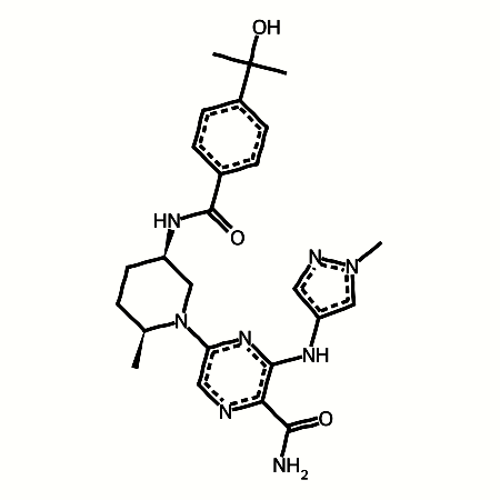 C[C@H]1CC[C@@H](NC(=O)c2ccc(C(C)(C)O)cc2)CN1c1cnc(C(N)=O)c(Nc2cnn(C)c2)n1